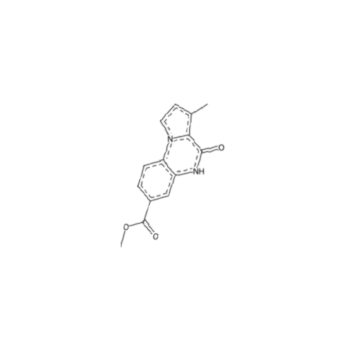 COC(=O)c1ccc2c(c1)[nH]c(=O)c1c(C)ccn12